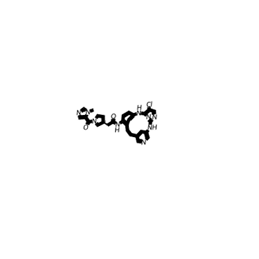 Cn1cncc1C(=O)N1CC[C@@H](CC(=O)Nc2ccc3cc2CCc2cncc(c2)Nc2ncc(Cl)c(n2)N3)C1